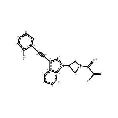 C=C(F)C(=O)N1CC(n2nc(C#Cc3ccccc3Cl)c3cccnc32)C1